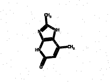 Cc1nc2[nH]c(=O)cc(C)c2[nH]1